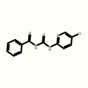 O=C(NC(=S)Nc1ccc(Cl)cn1)c1ccccc1